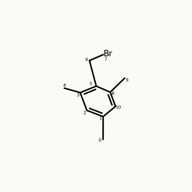 Cc1cc(C)c(CBr)c(C)c1